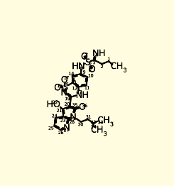 CCCC(=N)S(=O)(=O)Nc1ccc2c(c1)S(=O)(=O)N=C(c1c(O)c3cccnc3n(CCC(C)C)c1=O)N2